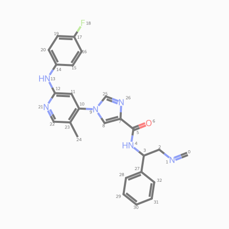 C=NCC(NC(=O)c1cn(-c2cc(Nc3ccc(F)cc3)ncc2C)cn1)c1ccccc1